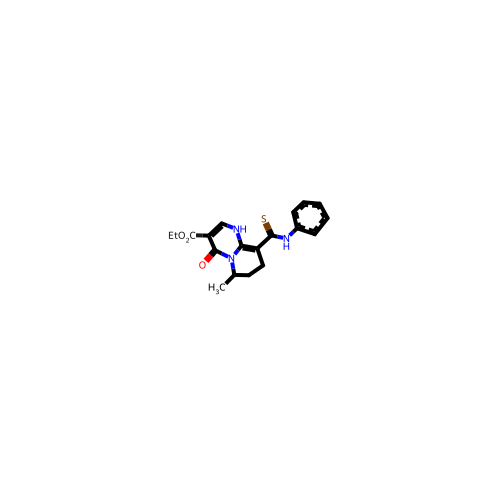 CCOC(=O)C1=CNC2=C(C(=S)Nc3ccccc3)CCC(C)N2C1=O